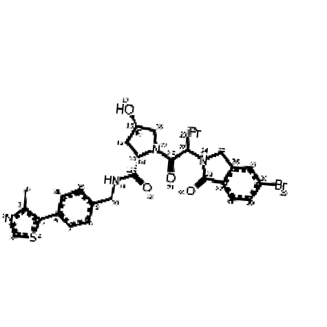 Cc1ncsc1-c1ccc(CNC(=O)[C@@H]2C[C@@H](O)CN2C(=O)C(C(C)C)N2Cc3cc(Br)ccc3C2=O)cc1